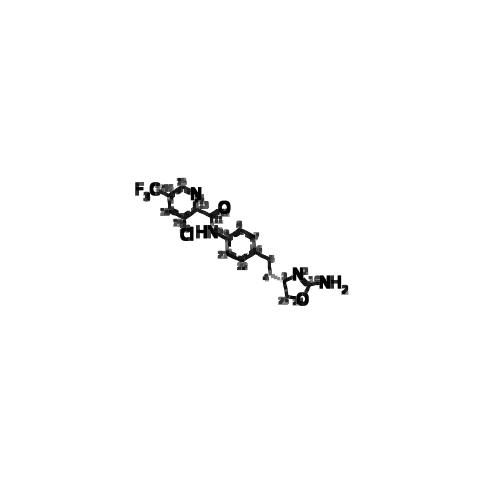 NC1=N[C@@H](CCc2ccc(NC(=O)c3ncc(C(F)(F)F)cc3Cl)cc2)CO1